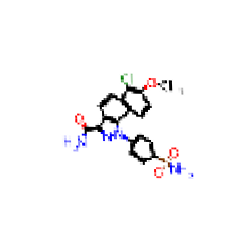 COc1ccc2c(ccc3c(C(N)=O)nn(-c4ccc(S(N)(=O)=O)cc4)c32)c1Cl